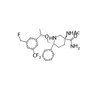 CC(=O)N[C@@]1(C(N)=O)CC[C@@](COC(C)c2cc(CF)cc(C(F)(F)F)c2)(c2ccccc2)NC1